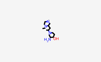 CCN1CCN(C)CC1CC(C)N1CC[C@@H](O)[C@H](N)C1